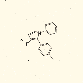 Cc1ccc(-c2c(F)ccn2-c2ccccc2)cc1